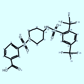 O=C(O)c1cccc(S(=O)(=O)N2CCC(NS(=O)(=O)c3cc(C(F)(F)F)ccc3C(F)(F)F)CC2)c1